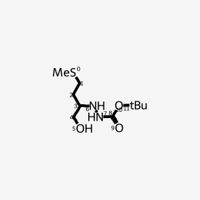 CSCCC(CO)NNC(=O)OC(C)(C)C